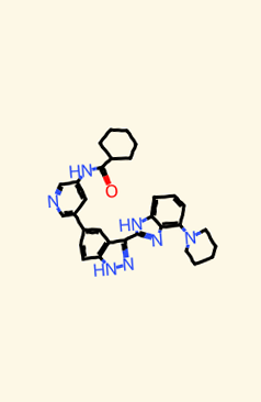 O=C(Nc1cncc(-c2ccc3[nH]nc(-c4nc5c(N6CCCCC6)cccc5[nH]4)c3c2)c1)C1CCCCC1